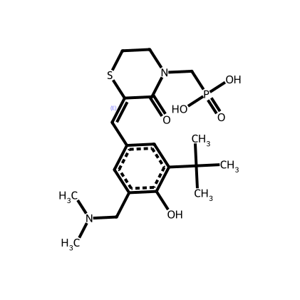 CN(C)Cc1cc(/C=C2/SCCN(CP(=O)(O)O)C2=O)cc(C(C)(C)C)c1O